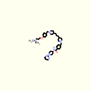 CN(C)CCCOc1ccc(CN2CCC(CCCC3CCN(Cc4ccc(C(=O)NC5CCN(c6ncccn6)CC5)cc4)CC3)CC2)cc1